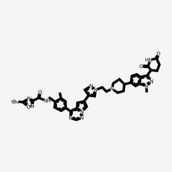 Cc1cc(-c2ncnn3cc(-c4cnn(CCN5CCC(c6ccc7c(C8CCC(=O)NC8=O)nn(C)c7c6)CC5)c4)cc23)ccc1CNC(=O)c1noc(C(C)(C)C)n1